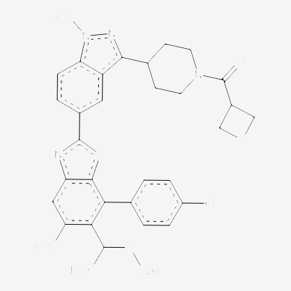 Cc1cc2nc(-c3ccc4c(c3)c(C3CCN(C(=O)C5COC5)CC3)nn4C)sc2c(-c2ccc(Cl)cc2)c1C(OC(C)(C)C)C(=O)O